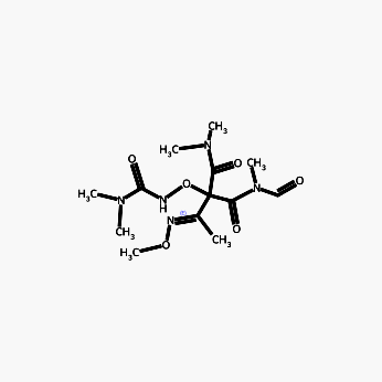 CO/N=C(\C)C(ONC(=O)N(C)C)(C(=O)N(C)C)C(=O)N(C)C=O